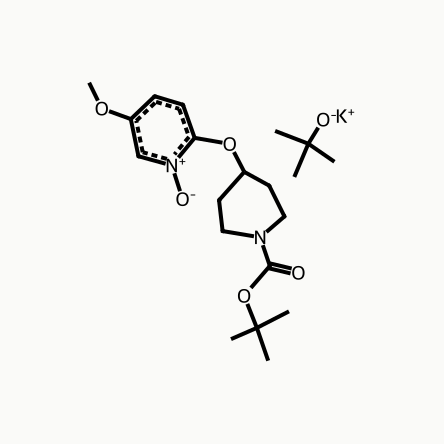 CC(C)(C)[O-].COc1ccc(OC2CCN(C(=O)OC(C)(C)C)CC2)[n+]([O-])c1.[K+]